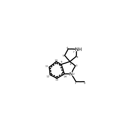 CCN1CC2(CCNC2)c2ccccc21